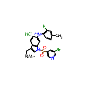 CNCc1cn(S(=O)(=O)c2cncc(Br)c2)c2cc(Nc3ccc(C)cc3F)ccc12.Cl